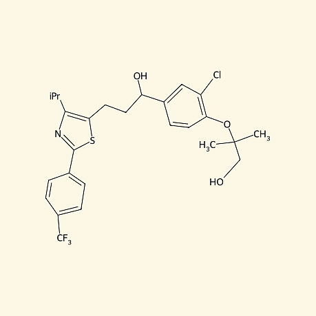 CC(C)c1nc(-c2ccc(C(F)(F)F)cc2)sc1CCC(O)c1ccc(OC(C)(C)CO)c(Cl)c1